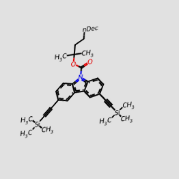 CCCCCCCCCCCCC(C)(C)OC(=O)n1c2ccc(C#C[Si](C)(C)C)cc2c2cc(C#C[Si](C)(C)C)ccc21